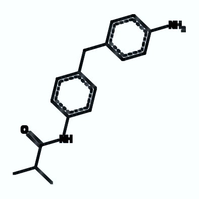 CC(C)C(=O)Nc1ccc(Cc2ccc(N)cc2)cc1